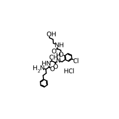 CC(NC(=O)C(N)CCc1ccccc1)C(=O)NCc1cc(Cl)ccc1OCC(=O)NCCCO.Cl